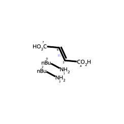 CCCCN.CCCCN.O=C(O)/C=C/C(=O)O